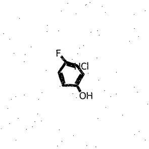 Cl.Oc1ccc(F)cc1